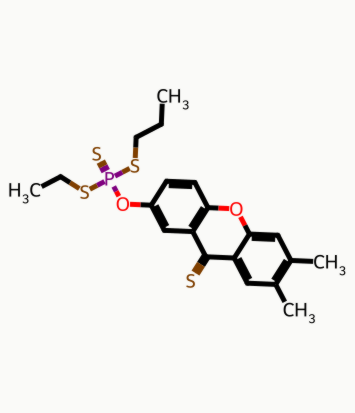 CCCSP(=S)(Oc1ccc2oc3cc(C)c(C)cc3c(=S)c2c1)SCC